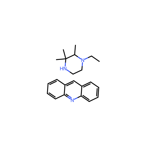 CCN1CCNC(C)(C)C1C.c1ccc2nc3ccccc3cc2c1